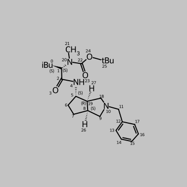 CC[C@H](C)[C@@H](C(=O)N[C@H]1CC[C@@H]2CN(Cc3ccccc3)C[C@@H]21)N(C)C(=O)OC(C)(C)C